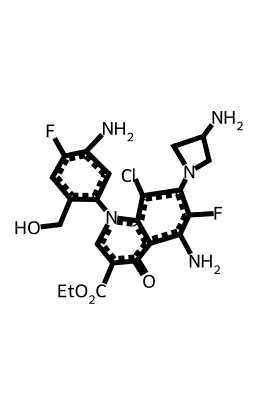 CCOC(=O)c1cn(-c2cc(N)c(F)cc2CO)c2c(Cl)c(N3CC(N)C3)c(F)c(N)c2c1=O